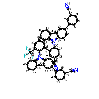 N#Cc1cccc(-c2ccc3c(c2)c2ccccc2n3-c2ccc(C#N)cc2-c2cccc(C(F)(F)F)c2-n2c3ccccc3c3cc(-c4cccc(C#N)c4)ccc32)c1